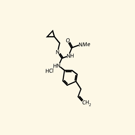 C=CCc1ccc(NC(=NCC2CC2)NC(=O)NC)cc1.Cl